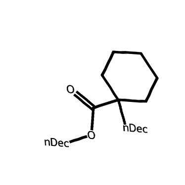 CCCCCCCCCCOC(=O)C1(CCCCCCCCCC)CCCCC1